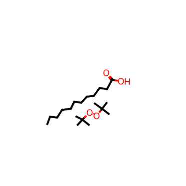 CC(C)(C)OOC(C)(C)C.CCCCCCCCCCCC(=O)O